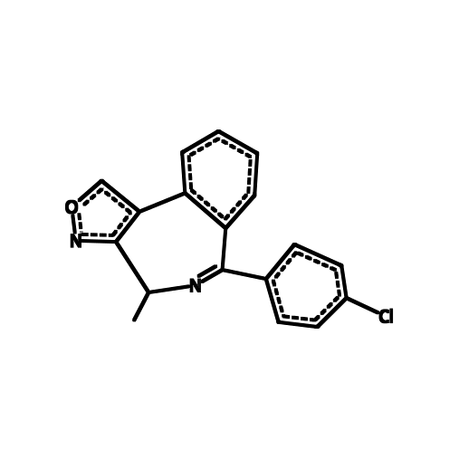 CC1N=C(c2ccc(Cl)cc2)c2ccccc2-c2conc21